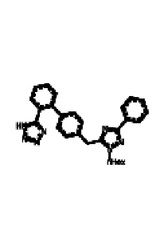 CCCCCCn1nc(-c2ccccc2)nc1Cc1ccc(-c2ccccc2-c2nnn[nH]2)cc1